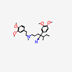 CCC(C)C(C#N)(CCCN(C)CCc1ccc(OC)c(OC)c1)c1ccc(OC)c(OC)c1